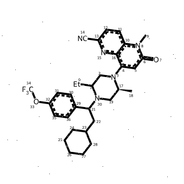 CCC1CN(c2cc(=O)n(C)c3ccc(C#N)nc23)[C@@H](C)CN1C(CC1CCCCC1)c1ccc(OC(F)(F)F)cc1